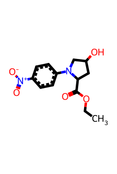 CCOC(=O)C1CC(O)CN1c1ccc([N+](=O)[O-])cc1